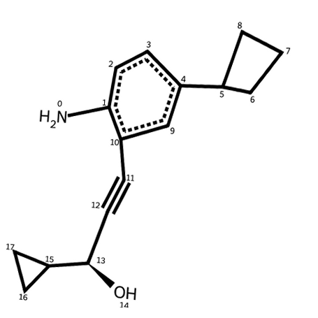 Nc1ccc(C2CCC2)cc1C#C[C@@H](O)C1CC1